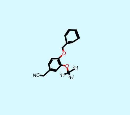 [2H]C([2H])([2H])Oc1cc(CC#N)ccc1OCc1ccccc1